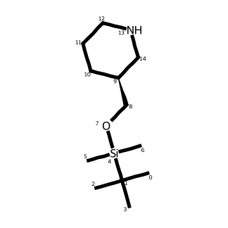 CC(C)(C)[Si](C)(C)OC[C@H]1CCCNC1